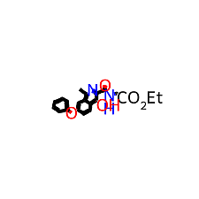 CCOC(=O)CNC(=O)c1nc(C)c2cc(Oc3ccccc3)ccc2c1O